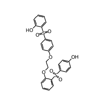 O=S(=O)(c1ccc(OCCOc2ccccc2S(=O)(=O)c2ccc(O)cc2)cc1)c1ccccc1O